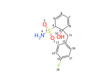 NS(=O)(=O)C1C=CC=CC1(O)Cc1ccc(F)cc1